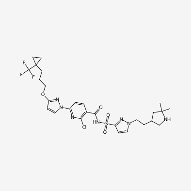 CC1(C)CC(CCn2ccc(S(=O)(=O)NC(=O)c3ccc(-n4ccc(OCCCC5(C(F)(F)F)CC5)n4)nc3Cl)n2)CN1